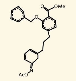 COC(=O)c1ccc(CCCC2=CC=CC(=NOC(C)=O)C2)cc1OCc1ccccc1